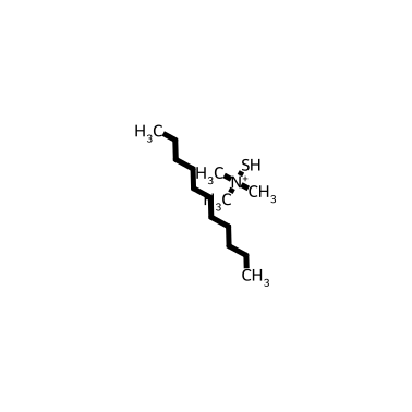 CCCCCCCCCCC.C[N+](C)(C)S